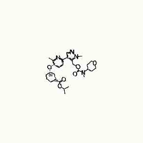 Cc1nc(-c2cnn(C)c2COC(=O)N(C)C2CCOCC2)ccc1O[C@H]1CCC[C@H](C(=O)OC(C)C)C1